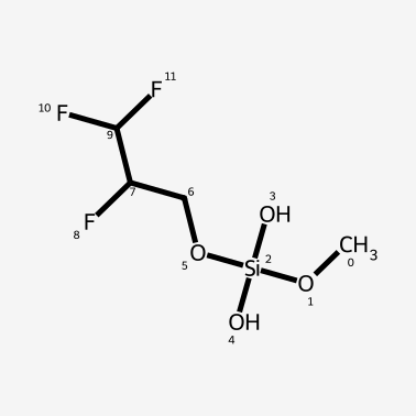 CO[Si](O)(O)OCC(F)C(F)F